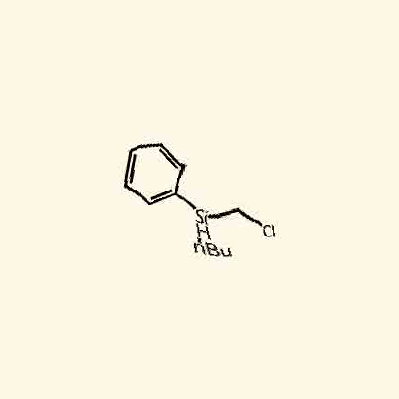 CCCC[SiH](CCl)c1ccccc1